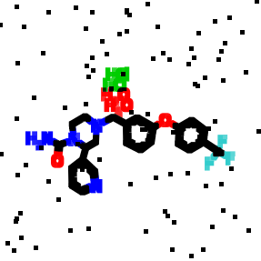 Cl.Cl.NC(=O)N1CCN(Cc2cccc(Oc3ccc(C(F)(F)F)cc3)c2)CC1c1cccnc1.O.O